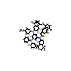 CC(C)(C)c1ccc(N2c3cc4c(cc3B3c5c2cc(N(c2ccccc2)c2ccccc2)cc5N(c2ccc5c(c2)C(C)(C)CCC5(C)C)c2sc5cc6c(cc5c23)C2(C)CCC6(C)CC2)C2(C)CCC4(C)CC2)cc1